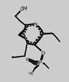 CCc1cc(CO)nc(CC)c1OP(C)(=O)O